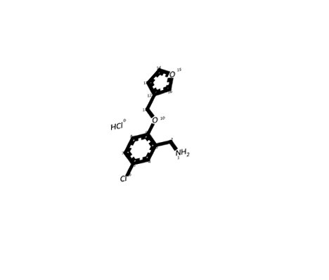 Cl.NCc1cc(Cl)ccc1OCc1ccoc1